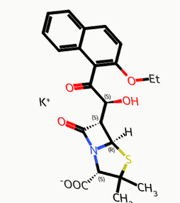 CCOc1ccc2ccccc2c1C(=O)[C@@H](O)[C@H]1C(=O)N2[C@@H]1SC(C)(C)[C@@H]2C(=O)[O-].[K+]